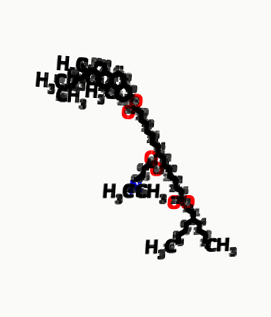 CCCCCC(CCCCC)CCOC(=O)CCCCCCCC(CCCCCCCC(=O)O[C@H]1CC[C@@]2(C)C(=CCC3C2CC[C@@]2(C)C3CC[C@@H]2[C@H](C)CCCC(C)C)C1)OC(=O)CCCN(C)C